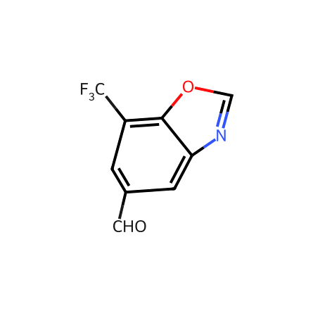 O=Cc1cc(C(F)(F)F)c2ocnc2c1